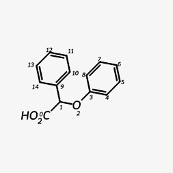 O=C(O)C(Oc1ccccc1)c1ccccc1